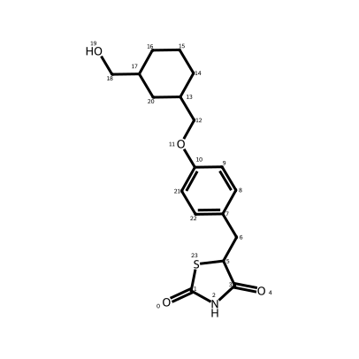 O=C1NC(=O)C(Cc2ccc(OCC3CCCC(CO)C3)cc2)S1